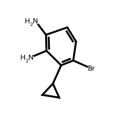 Nc1ccc(Br)c(C2CC2)c1N